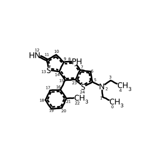 CCN(CC)c1cc2[pH]c3cc(=N)sc-3c(-c3ccccc3C)c2s1